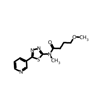 COCCCC(=O)N(C)c1nnc(-c2cccnc2)s1